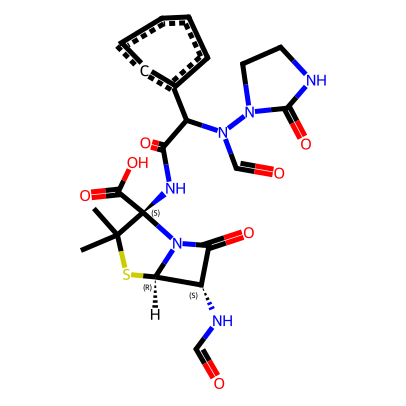 CC1(C)S[C@@H]2[C@@H](NC=O)C(=O)N2[C@@]1(NC(=O)C(c1ccccc1)N(C=O)N1CCNC1=O)C(=O)O